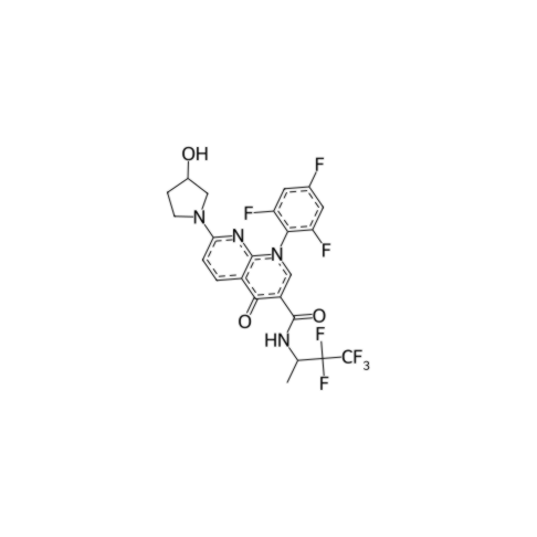 CC(NC(=O)c1cn(-c2c(F)cc(F)cc2F)c2nc(N3CCC(O)C3)ccc2c1=O)C(F)(F)C(F)(F)F